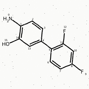 Nc1ccc(-c2ccc(F)cc2F)cc1O